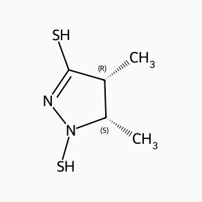 C[C@H]1C(S)=NN(S)[C@H]1C